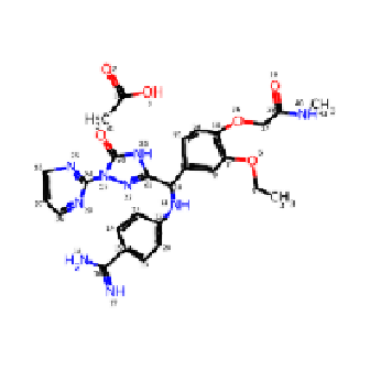 CC(=O)O.CCOc1cc(C(Nc2ccc(C(=N)N)cc2)c2nn(-c3ncccn3)c(=O)[nH]2)ccc1OCC(=O)NC